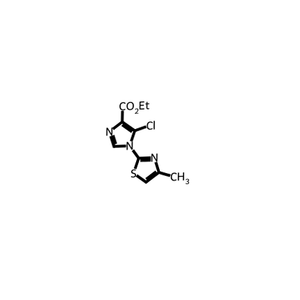 CCOC(=O)c1ncn(-c2nc(C)cs2)c1Cl